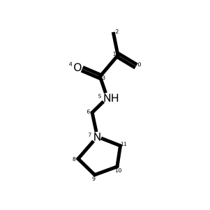 C=C(C)C(=O)NCN1CCCC1